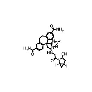 Cn1nnc(C2(CCNCC(=O)N3[C@H](C#N)C[C@@H]4C[C@@H]43)c3ccc(C(N)=O)cc3CCc3cc(C(N)=O)ccc32)n1